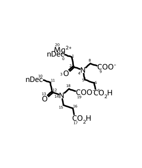 CCCCCCCCCCCC(=O)N(CCC(=O)O)CC(=O)[O-].CCCCCCCCCCCC(=O)N(CCC(=O)O)CC(=O)[O-].[Mg+2]